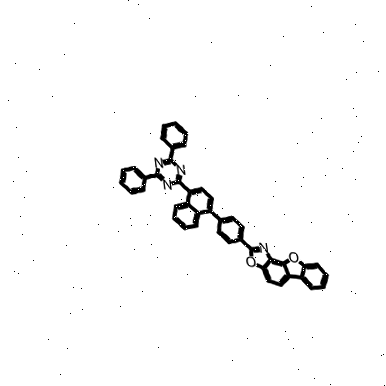 c1ccc(-c2nc(-c3ccccc3)nc(-c3ccc(-c4ccc(-c5nc6c(ccc7c8ccccc8oc76)o5)cc4)c4ccccc34)n2)cc1